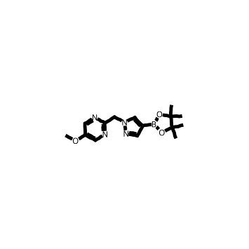 COc1cnc(Cn2cc(B3OC(C)(C)C(C)(C)O3)cn2)nc1